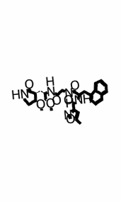 COC(OC)[C@H](C[C@@H]1CCCNC1=O)NC(=O)CNC(=O)C(Cc1cccc2ccccc12)NC(=O)c1cc(C)on1